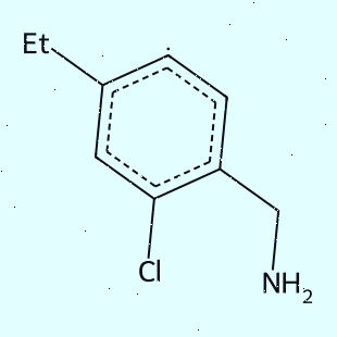 CCc1[c]cc(CN)c(Cl)c1